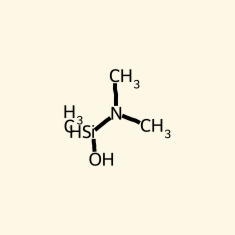 CN(C)[SiH](C)O